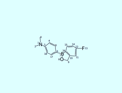 CN(C)c1ccc(B2OCc3cc(F)ccc32)cc1